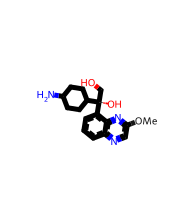 COc1cnc2cccc([C@](O)(CO)C3CCC(N)CC3)c2n1